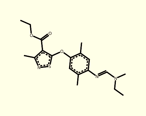 CCOC(=O)c1c(C)nsc1Oc1cc(C)c(/N=C/N(C)CC)cc1C